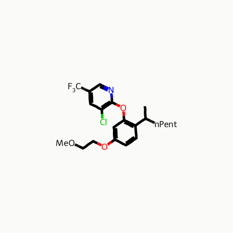 CCC[CH]CC(C)c1ccc(OCCOC)cc1Oc1ncc(C(F)(F)F)cc1Cl